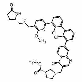 COC(=O)[C@H]1CCN(Cc2cnc3cc(-c4cccc(-c5cccc(-c6ccc(CNC[C@@H]7CCC(=O)N7)c(OC)n6)c5Cl)c4Cl)ccn3c2=O)C1